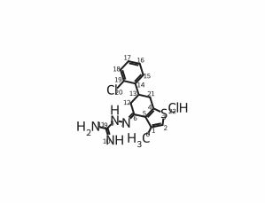 Cc1csc2c1C(=NNC(=N)N)CC(c1ccccc1Cl)C2.Cl